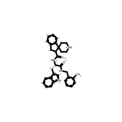 Cc1ccccc1CNC(=O)[C@H](Cc1c[nH]c2ccccc12)NC(=O)C1Cc2ccccc2C12CCNCC2